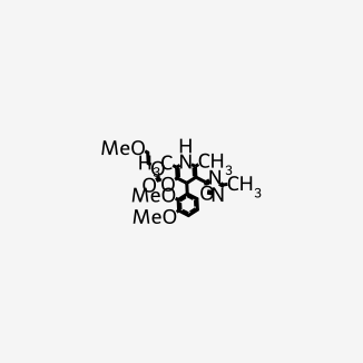 COCCOC(=O)OC1=C(C)NC(C)=C(c2nc(C)no2)C1c1cccc(OC)c1OC